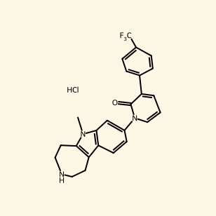 Cl.Cn1c2c(c3ccc(-n4cccc(-c5ccc(C(F)(F)F)cc5)c4=O)cc31)CCNCC2